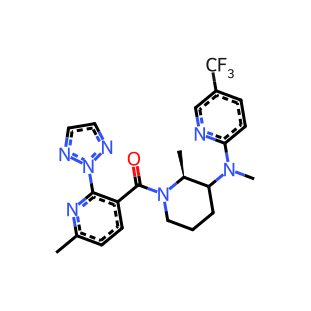 Cc1ccc(C(=O)N2CCCC(N(C)c3ccc(C(F)(F)F)cn3)[C@@H]2C)c(-n2nccn2)n1